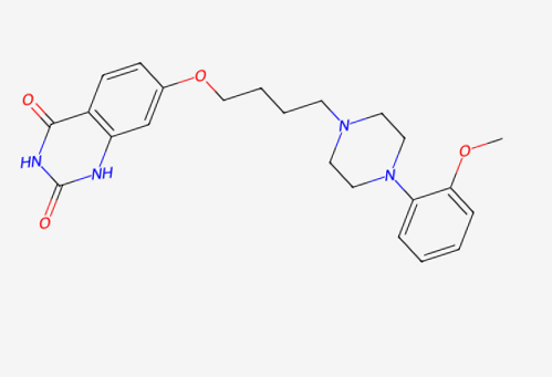 COc1ccccc1N1CCN(CCCCOc2ccc3c(=O)[nH]c(=O)[nH]c3c2)CC1